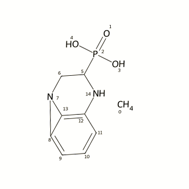 C.O=P(O)(O)C1CN2c3cccc(c32)N1